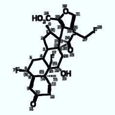 C[C@@H]1CC2C3C[C@H](F)C4=CC(=O)C=C[C@]4(C)C3(F)[C@@H](O)C[C@]2(C)[C@]1(C(=O)SCF)c1ccoc1C(=O)O